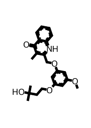 COc1cc(OCCC(C)(C)O)cc(OCc2[nH]c3ccccc3c(=O)c2C)c1